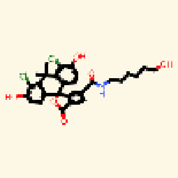 CC1(C)c2c(ccc(O)c2Cl)C2(OC(=O)c3ccc(C(=O)NCCCCCCO)cc32)c2ccc(O)c(Cl)c21